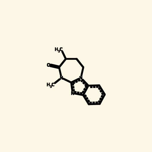 CC1CCn2c(nc3ccccc32)N(C)C1=O